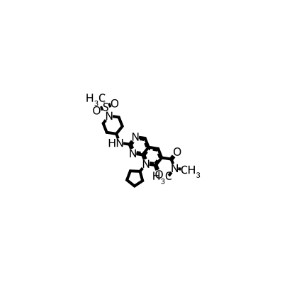 CN(C)C(=O)c1cc2cnc(NC3CCN(S(C)(=O)=O)CC3)nc2n(C2CCCC2)c1=O